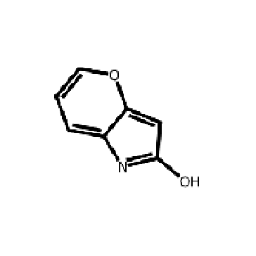 Oc1cc2occcc-2n1